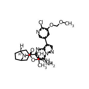 COCOc1cc(-c2cnn3c(N)cc(C4CC5CC[C@H](C4)N5C(=O)OC(C)(C)C)nc23)cnc1Cl